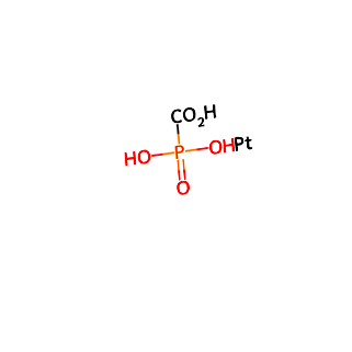 O=C(O)P(=O)(O)O.[Pt]